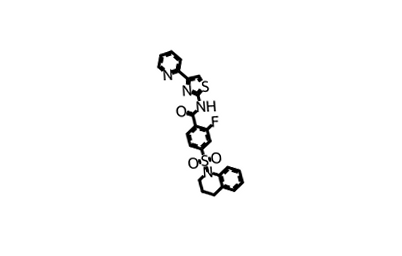 O=C(Nc1nc(-c2ccccn2)cs1)c1ccc(S(=O)(=O)N2CCCc3ccccc32)cc1F